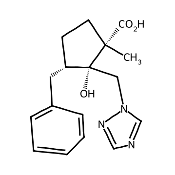 C[C@]1(C(=O)O)CC[C@@H](Cc2ccccc2)[C@]1(O)Cn1cncn1